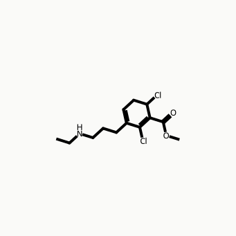 CCNCCCC1=CCC(Cl)C(C(=O)OC)=C1Cl